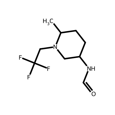 CC1CCC(NC=O)CN1CC(F)(F)F